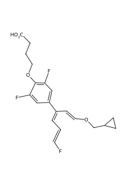 O=C(O)CCCOc1c(F)cc(C(/C=C/OCC2CC2)=C/C=C/F)cc1F